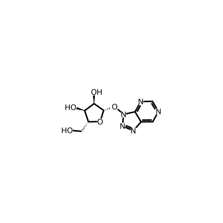 OC[C@H]1O[C@@H](On2nnc3cncnc32)[C@H](O)[C@@H]1O